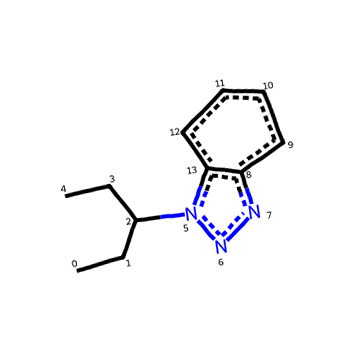 CCC(CC)n1nnc2ccccc21